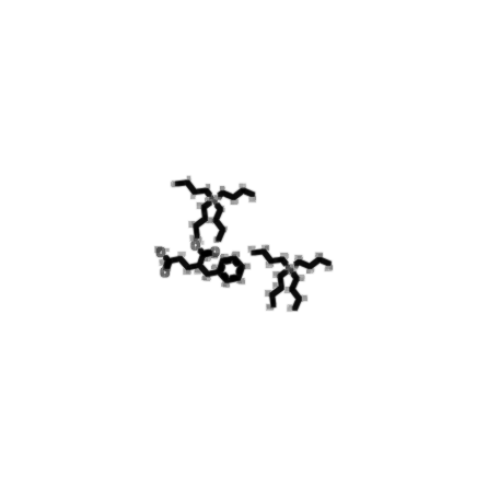 CCCC[N+](CCCC)(CCCC)CCCC.CCCC[N+](CCCC)(CCCC)CCCC.O=C([O-])CCC(Cc1ccccc1)C(=O)[O-]